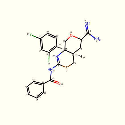 N=C(N)[C@H]1C[C@H]2CSC(NC(=O)c3ccccc3)=N[C@@]2(c2ccc(F)cc2F)CO1